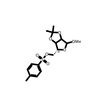 COC1O[C@H](COS(=O)(=O)c2ccc(C)cc2)C2OC(C)(C)OC12